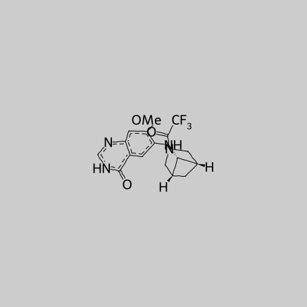 COc1cc2nc[nH]c(=O)c2cc1N[C@H]1[C@@H]2C[C@H]1CN(C(=O)C(F)(F)F)C2